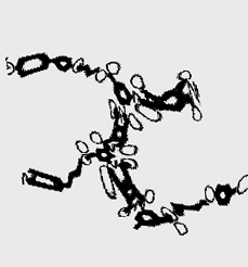 CCCCCCOC1CCC(c2ccc(OCCCCOC(=O)c3cc(N4C(=O)C5C6C(=O)N(c7cc(C(=O)OCCCCc8ccncc8)cc(N8C(=O)C9C%10C(=O)N(c%11cc(C)cc(C(=O)OCCCCCOc%12ccc(C(=O)O)cc%12)c%11)C(=O)C%10C9C8=O)c7)C(=O)C6C5C4=O)cc(-n4c(=O)c5cc6c(=O)n(C)c(=O)c6cc5c4=O)c3)cc2)CC1